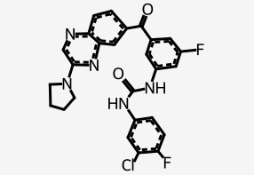 O=C(Nc1cc(F)cc(C(=O)c2ccc3ncc(N4CCCC4)nc3c2)c1)Nc1ccc(F)c(Cl)c1